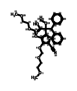 COCCOCOc1c(C#N)sc(C(ON)(C(=O)O)C(c2ccccc2)c2ccccc2)c1OCOCCOC